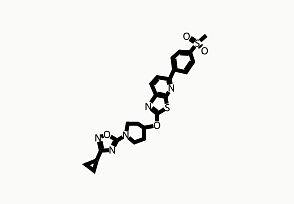 CS(=O)(=O)c1ccc(-c2ccc3nc(OC4CCN(c5nc(C6CC6)no5)CC4)sc3n2)cc1